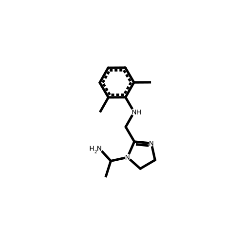 Cc1cccc(C)c1NCC1=NCCN1C(C)N